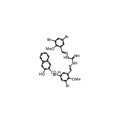 COc1c(Br)cc(Br)cc1C=NNC(=N)NN=Cc1cc(Br)cc(Br)c1OC.O=C(O)c1cc2ccccc2cc1O